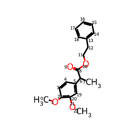 COc1ccc(C(C)C(=O)OCCc2ccccc2)cc1OC